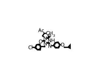 CC(=O)[C@@H](C)Cn1c(=O)[nH]/c(=N\c2ccc(OCC3CC3)cc2)n(Cc2ccc(Cl)cc2)c1=O